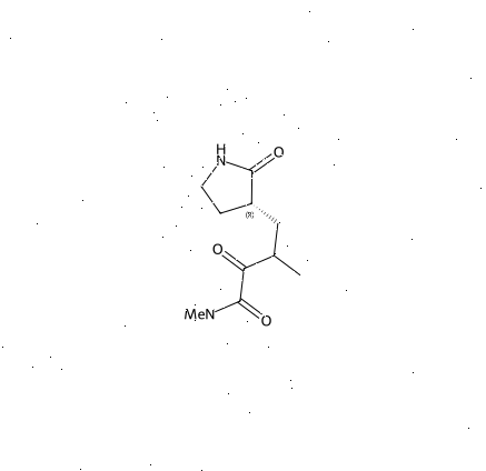 CNC(=O)C(=O)C(C)C[C@@H]1CCNC1=O